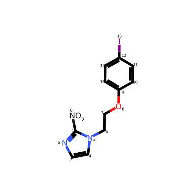 O=[N+]([O-])c1nccn1CCOc1ccc(I)cc1